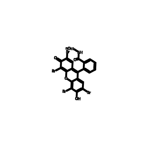 CCCCCCCCNC(=O)c1ccccc1-c1c2cc(Br)c(=O)c(Br)c-2oc2c(Br)c(O)c(Br)cc12